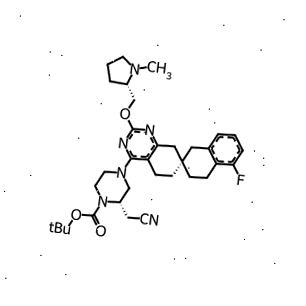 CN1CCC[C@H]1COc1nc2c(c(N3CCN(C(=O)OC(C)(C)C)[C@@H](CC#N)C3)n1)CC[C@]1(CCc3c(F)cccc3C1)C2